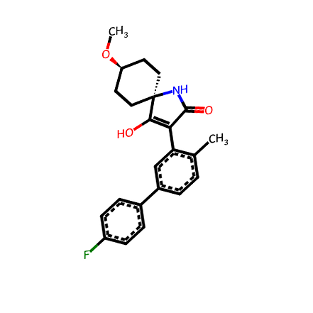 CO[C@H]1CC[C@]2(CC1)NC(=O)C(c1cc(-c3ccc(F)cc3)ccc1C)=C2O